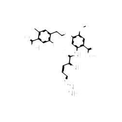 COc1cc(C(=O)O)c(NC(=O)C(=N)/C=C\C=N\N=N)cc1OCCc1cc(C)c(C(=O)O)cc1F